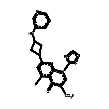 Cc1cc(N2CC(Nc3cccnc3)C2)nc2c1c(=O)c(C(=O)O)cn2-c1ncns1